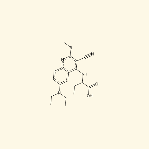 CCC(Nc1c(C#N)c(SC)nc2ccc(N(CC)CC)cc12)C(=O)O